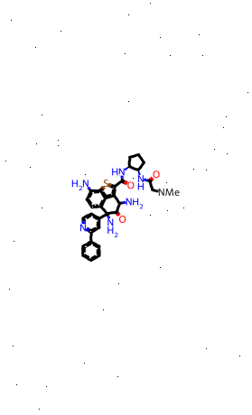 CNCC(=O)N[C@@H]1CCC[C@@H]1NC(=O)c1sc2c(N)ccc3c2c1C(N)C(=O)C3(N)c1ccnc(-c2ccccc2)c1